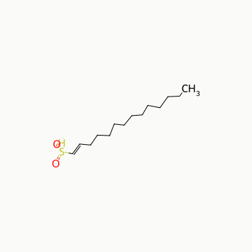 CCCCCCCCCCCCC=C[SH](=O)=O